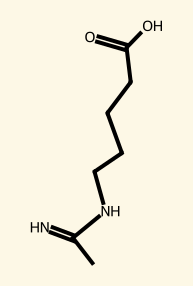 CC(=N)NCCCCC(=O)O